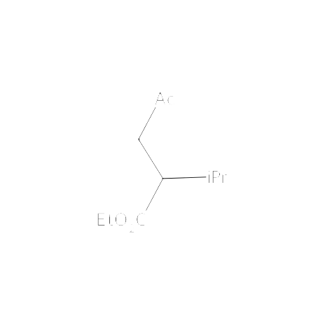 CCOC(=O)C(CC(C)=O)C(C)C